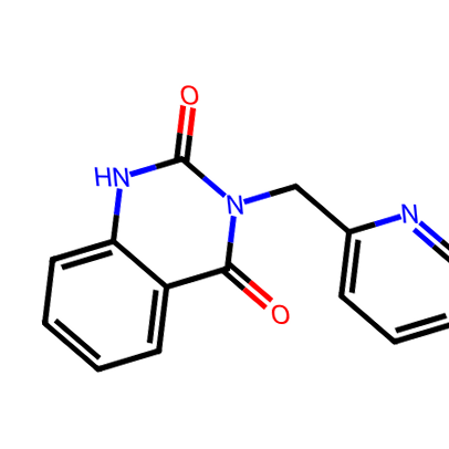 O=c1[nH]c2ccccc2c(=O)n1Cc1ccccn1